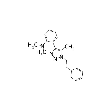 Cc1c(-c2ccccc2N(C)C)nnn1CCc1ccccc1